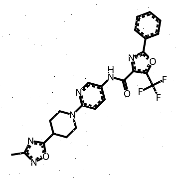 Cc1noc(C2CCN(c3ccc(NC(=O)c4nc(-c5ccccc5)oc4C(F)(F)F)cn3)CC2)n1